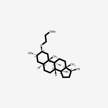 COCCO[C@H]1C[C@@]2(C)[C@@H](CC[C@@H]3[C@@H]2CC[C@]2(C)[C@@H](C#N)CC[C@@H]32)C[C@@H]1O